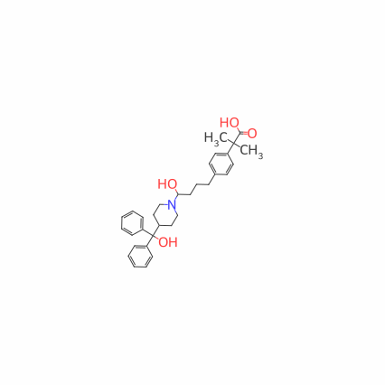 CC(C)(C(=O)O)c1ccc(CCCC(O)N2CCC(C(O)(c3ccccc3)c3ccccc3)CC2)cc1